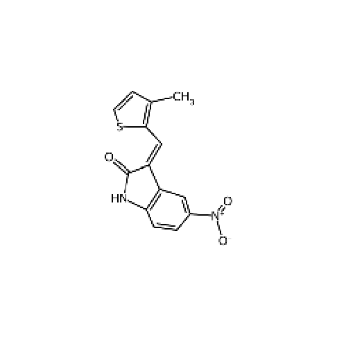 Cc1ccsc1C=C1C(=O)Nc2ccc([N+](=O)[O-])cc21